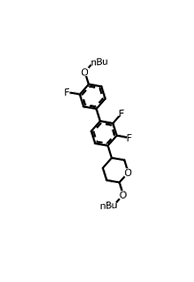 CCCCOc1ccc(-c2ccc(C3CCC(OCCCC)OC3)c(F)c2F)cc1F